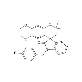 CC1(C)CC2(C(=O)N(Cc3ccc(F)cc3)c3ccccc32)c2cc3c(cc2O1)OCCO3